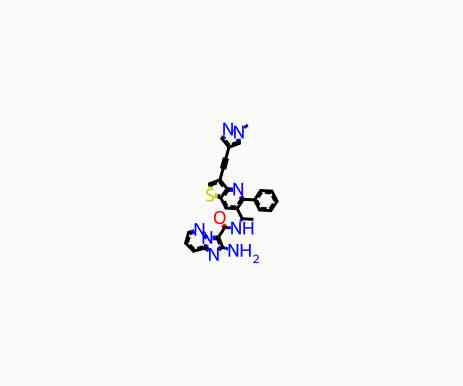 CC(NC(=O)c1c(N)nc2cccnn12)c1cc2scc(C#Cc3cnn(C)c3)c2nc1-c1ccccc1